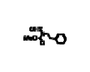 COC(=O)N(C=O)CCc1ccccc1